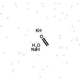 C=O.O.[KH].[NaH]